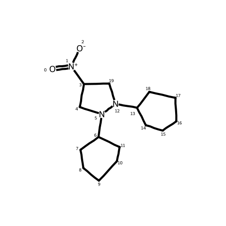 O=[N+]([O-])C1CN(C2CCCCC2)N(C2CCCCC2)C1